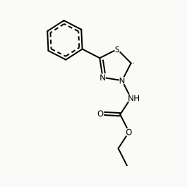 CCOC(=O)NN1[CH]SC(c2ccccc2)=N1